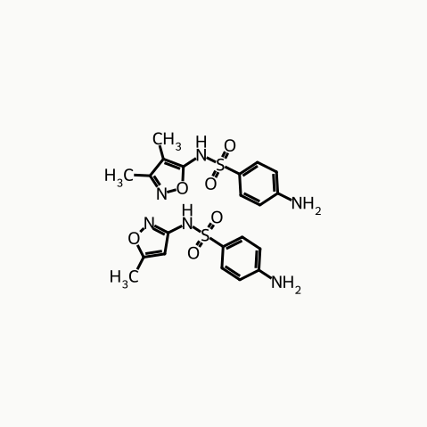 Cc1cc(NS(=O)(=O)c2ccc(N)cc2)no1.Cc1noc(NS(=O)(=O)c2ccc(N)cc2)c1C